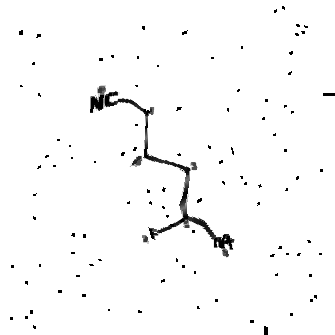 CCCC(F)CCCC#N